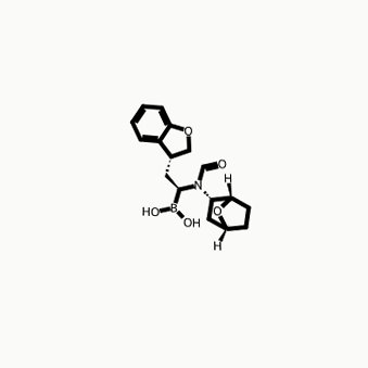 O=CN([C@H](C[C@H]1COc2ccccc21)B(O)O)[C@H]1C[C@H]2CC[C@@H]1O2